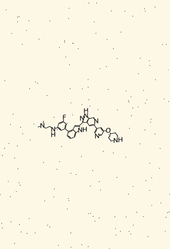 CN(C)CCNc1cc(F)cc(-c2cccc3[nH]c(-c4n[nH]c5cnc(-c6cncc(OC7CCNCC7)c6)cc45)cc23)c1